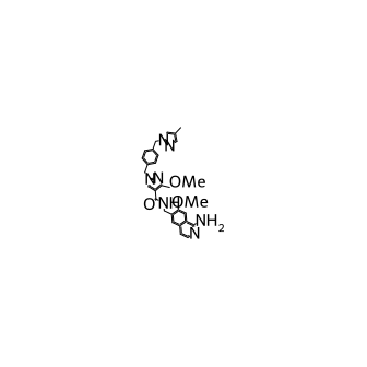 COCc1nn(Cc2ccc(Cn3cc(C)cn3)cc2)cc1C(=O)NCc1cc2ccnc(N)c2cc1OC